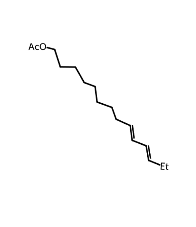 CCC=CC=CCCCCCCCCOC(C)=O